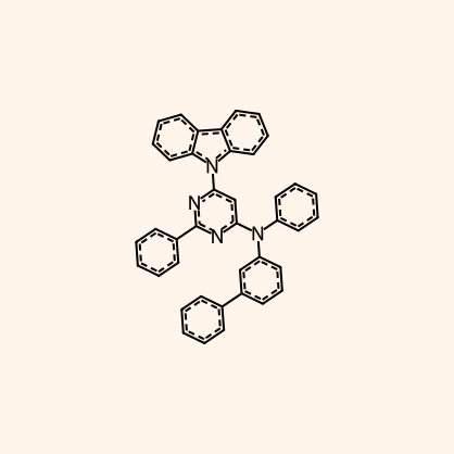 c1ccc(-c2cccc(N(c3ccccc3)c3cc(-n4c5ccccc5c5ccccc54)nc(-c4ccccc4)n3)c2)cc1